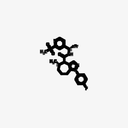 CCC[C@H](NC(=O)C1c2cnn(-c3ccc(F)cc3)c2CCC[C@@H]1C)c1ccnc(S(C)(=O)=O)c1